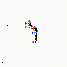 CC(C)CCCCCNC(=O)c1cnc(OCC(O)CNC(C)C)s1